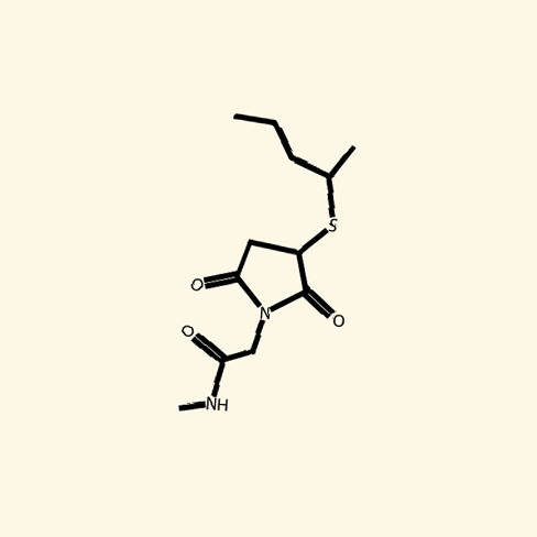 CCCC(C)SC1CC(=O)N(CC(=O)NC)C1=O